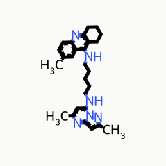 Cc1ccc2nc3c(c(NCCCCCNc4cc(C)nc5cc(C)nn45)c2c1)CCCC3